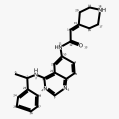 CC(Nc1ncnc2ccc(NC(=O)C=C3CCNCC3)cc12)c1ccccc1